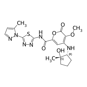 COc1c(N[C@@H]2CCC[C@]2(C)O)cc(C(=O)Nc2nnc(-n3nccc3C)s2)oc1=O